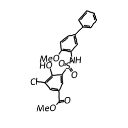 COC(=O)c1cc(Cl)c(O)c(S(=O)(=O)Nc2cc(-c3ccccc3)ccc2OC)c1